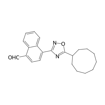 O=Cc1ccc(-c2noc(C3CCCCCCCC3)n2)c2ccccc12